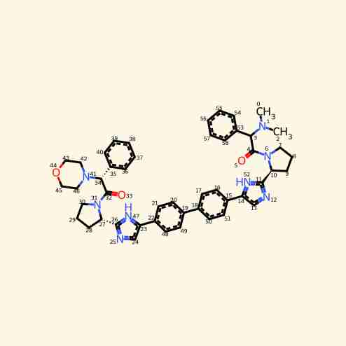 CN(C)C(C(=O)N1CCC[C@H]1c1ncc(-c2ccc(-c3ccc(-c4cnc([C@@H]5CCCN5C(=O)[C@@H](c5ccccc5)N5CCOCC5)[nH]4)cc3)cc2)[nH]1)c1ccccc1